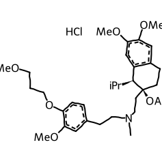 COCCCOc1ccc(CCN(C)CC[C@@]2(OC(C)=O)CCc3cc(OC)c(OC)cc3[C@@H]2C(C)C)cc1OC.Cl